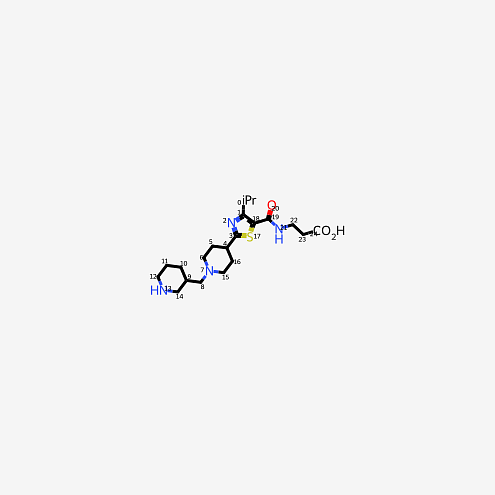 CC(C)c1nc(C2CCN(CC3CCCNC3)CC2)sc1C(=O)NCCC(=O)O